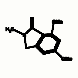 COc1cc2c(c(OC)c1)C(=O)N(C)C2